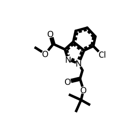 COC(=O)c1nn(CC(=O)OC(C)(C)C)c2c(Cl)cccc12